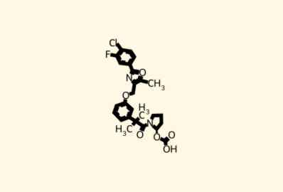 Cc1oc(-c2ccc(Cl)c(F)c2)nc1COc1cccc(C(C)(C)C(=O)N2CCC[C@H]2OC(=O)O)c1